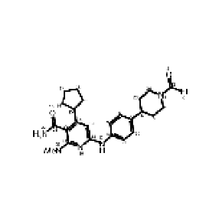 CCC(=O)N1CCC(c2ccc(Nc3cc(C4CCCC4)c(C(N)=O)c(NC)n3)cc2)CC1